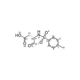 Cc1ccc(S(=O)(=O)N[C@H]([C]=O)CC(=O)O)cc1